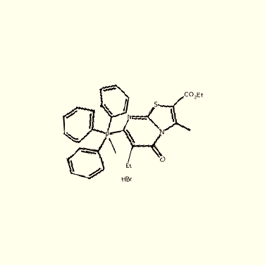 Br.CCOC(=O)c1sc2nc(P(C)(c3ccccc3)(c3ccccc3)c3ccccc3)c(CC)c(=O)n2c1C